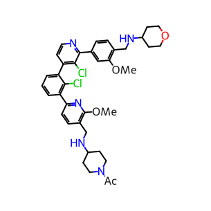 COc1cc(-c2nccc(-c3cccc(-c4ccc(CNC5CCN(C(C)=O)CC5)c(OC)n4)c3Cl)c2Cl)ccc1CNC1CCOCC1